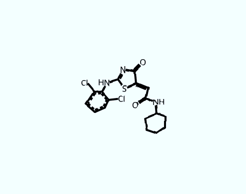 O=C(C=C1SC(Nc2c(Cl)cccc2Cl)=NC1=O)NC1CCCCC1